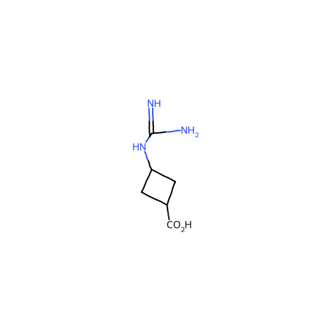 N=C(N)NC1CC(C(=O)O)C1